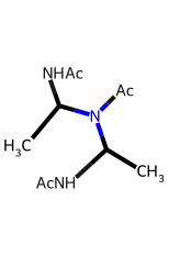 CC(=O)NC(C)N(C(C)=O)C(C)NC(C)=O